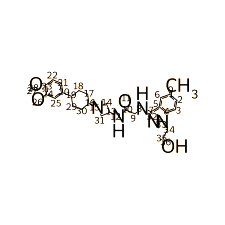 Cc1ccc2c(c1)c(NCC(=O)NC1CN(C3CCC(c4ccc5c(c4)OCO5)CC3)C1)nn2CCO